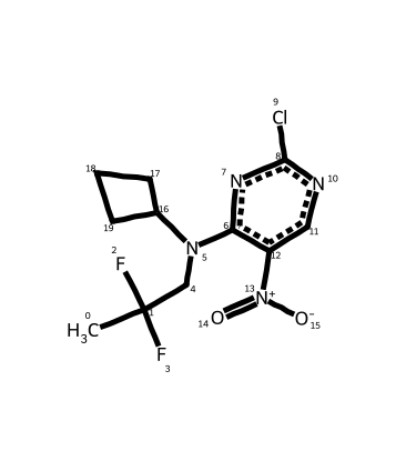 CC(F)(F)CN(c1nc(Cl)ncc1[N+](=O)[O-])C1CCC1